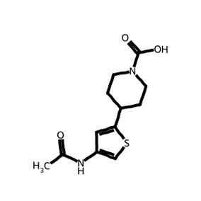 CC(=O)Nc1csc(C2CCN(C(=O)O)CC2)c1